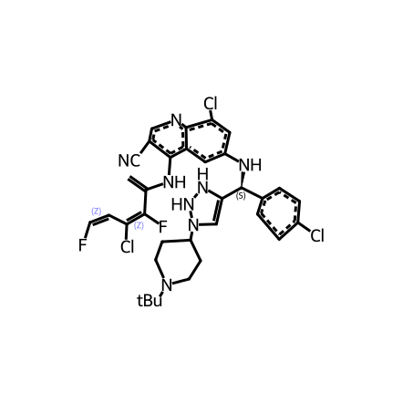 C=C(Nc1c(C#N)cnc2c(Cl)cc(N[C@H](C3=CN(C4CCN(C(C)(C)C)CC4)NN3)c3ccc(Cl)cc3)cc12)/C(F)=C(Cl)\C=C/F